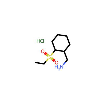 CCS(=O)(=O)C1CCCCC1CN.Cl